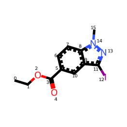 CCOC(=O)c1ccc2c(c1)c(I)nn2C